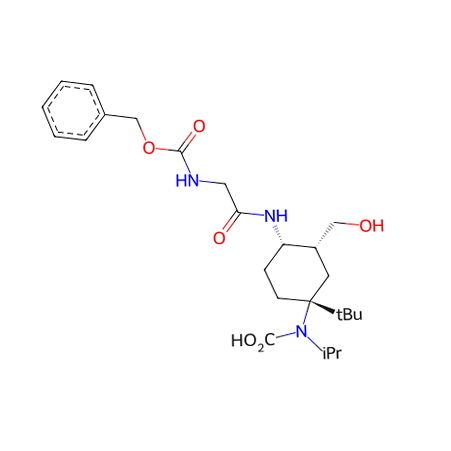 CC(C)N(C(=O)O)[C@]1(C(C)(C)C)CC[C@H](NC(=O)CNC(=O)OCc2ccccc2)[C@H](CO)C1